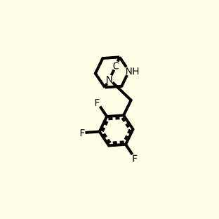 Fc1cc(F)c(F)c(CN2CC3CCC2CN3)c1